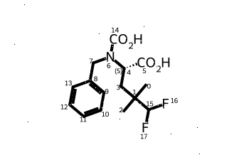 CC(C)(C[C@@H](C(=O)O)N(Cc1ccccc1)C(=O)O)C(F)F